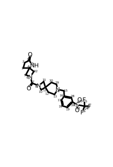 O=C1CCC2(CN(C(=O)N3CC4(CCN(Cc5cccc(S(=O)(=O)C(F)(F)F)c5)CC4)C3)C2)N1